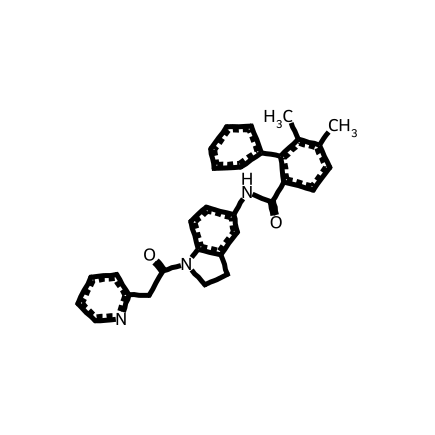 Cc1ccc(C(=O)Nc2ccc3c(c2)CCN3C(=O)Cc2ccccn2)c(-c2ccccc2)c1C